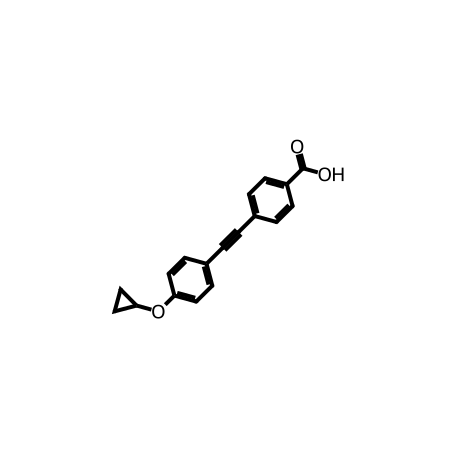 O=C(O)c1ccc(C#Cc2ccc(OC3CC3)cc2)cc1